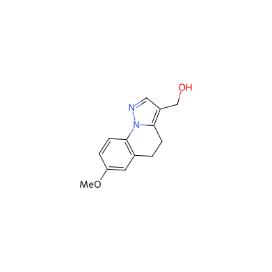 COc1ccc2c(c1)CCc1c(CO)cnn1-2